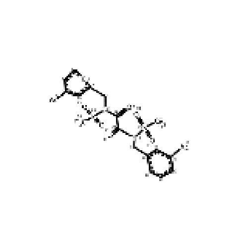 CC(=O)c1cccc(CN(C(=O)C(=O)N(Cc2cccc(C(C)=O)c2)S(=O)(=O)C(F)(F)F)S(=O)(=O)C(F)(F)F)c1